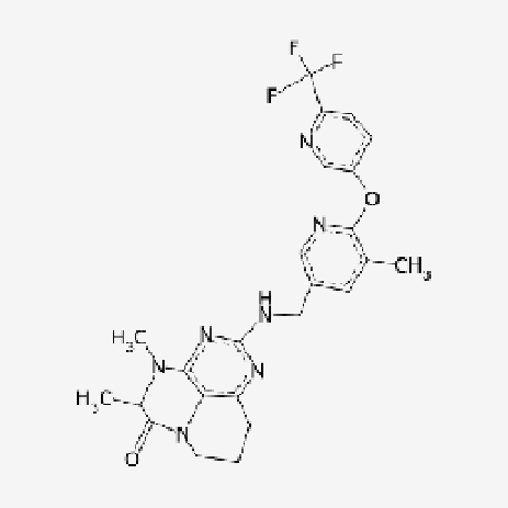 Cc1cc(CNc2nc3c4c(n2)N(C)C(C)C(=O)N4CCC3)cnc1Oc1ccc(C(F)(F)F)nc1